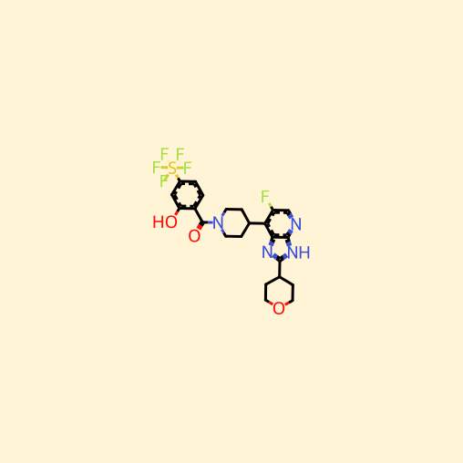 O=C(c1ccc(S(F)(F)(F)(F)F)cc1O)N1CCC(c2c(F)cnc3[nH]c(C4CCOCC4)nc23)CC1